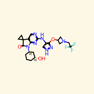 O=C1N([C@@H]2CCC[C@@H](O)C2)c2nc(Nc3c[nH]nc3OC3CN(CC(F)(F)F)C3)ncc2C12CC2